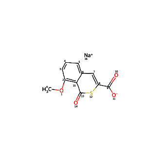 COc1cccc2cc(C(=O)[O-])sc(=O)c12.[Na+]